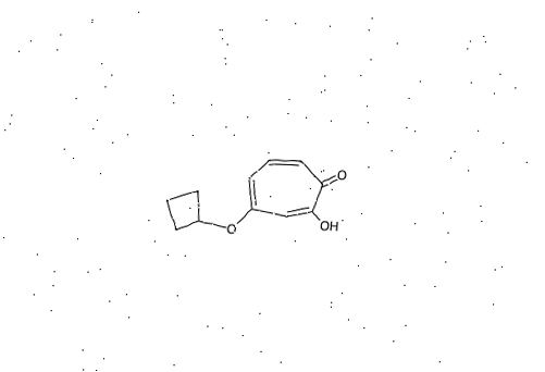 O=c1cccc(OC2CCC2)cc1O